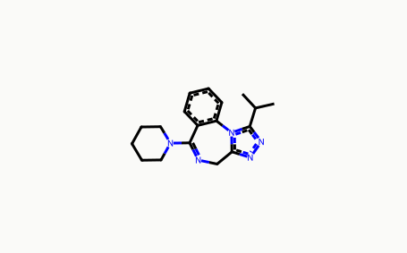 CC(C)c1nnc2n1-c1ccccc1C(N1CCCCC1)=NC2